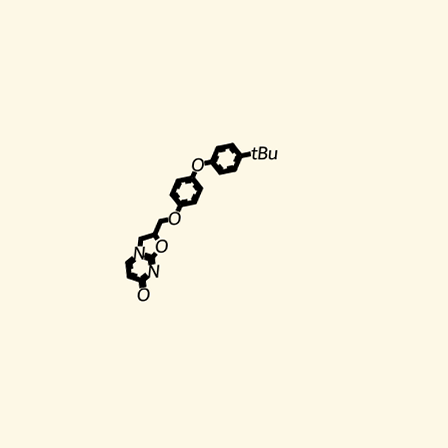 CC(C)(C)c1ccc(Oc2ccc(OCC3Cn4ccc(=O)nc4O3)cc2)cc1